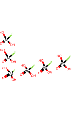 O=[As](O)(O)F.O=[As](O)(O)F.O=[As](O)(O)F.O=[As](O)(O)F.O=[As](O)(O)F.O=[As](O)(O)F